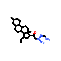 CCC1C[C@H](C(=O)CN(N)/N=C\N)C2(C)CCC3C4CCC(C)CC4CCC3C12